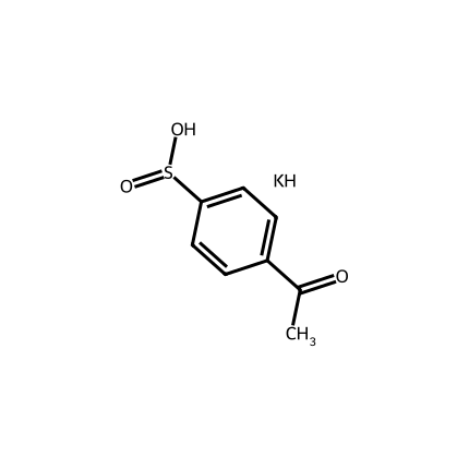 CC(=O)c1ccc(S(=O)O)cc1.[KH]